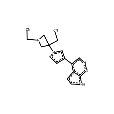 N#CCN1CC(CC#N)(n2cc(-c3cnnc4[nH]ccc34)cn2)C1